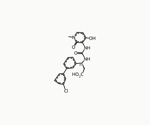 Cn1ccc(O)c(NC(=O)N[C@@H](CC(=O)O)c2cccc(-c3cccc(Cl)c3)c2)c1=O